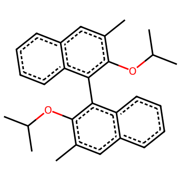 Cc1cc2ccccc2c(-c2c(OC(C)C)c(C)cc3ccccc23)c1OC(C)C